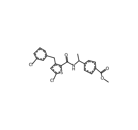 COC(=O)c1ccc(C(C)NC(=O)c2sc(Cl)cc2Cc2cccc(Cl)c2)cc1